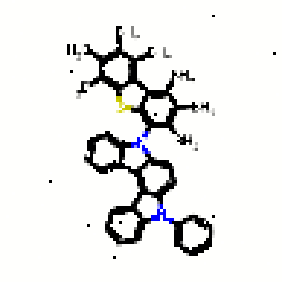 Bc1c(B)c(B)c2c(sc3c(-n4c5ccccc5c5c6c7ccccc7n(-c7ccccc7)c6ccc54)c(B)c(B)c(B)c32)c1B